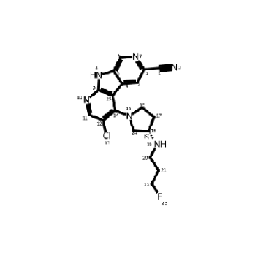 N#Cc1cc2c(cn1)[nH]c1ncc(Cl)c(N3CC[C@H](NCCCF)C3)c12